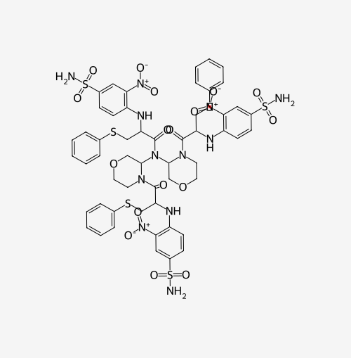 NS(=O)(=O)c1ccc(NC(CSc2ccccc2)C(=O)N2CCOCC2N(C(=O)C(CSc2ccccc2)Nc2ccc(S(N)(=O)=O)cc2[N+](=O)[O-])C2COCCN2C(=O)C(CSc2ccccc2)Nc2ccc(S(N)(=O)=O)cc2[N+](=O)[O-])c([N+](=O)[O-])c1